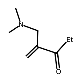 C=C(CN(C)C)C(=O)CC